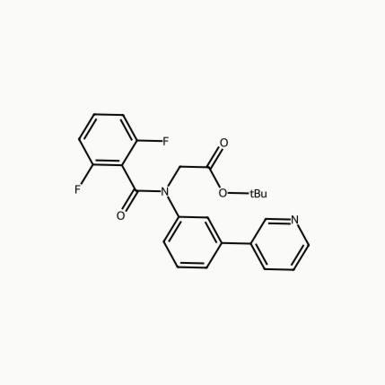 CC(C)(C)OC(=O)CN(C(=O)c1c(F)cccc1F)c1cccc(-c2cccnc2)c1